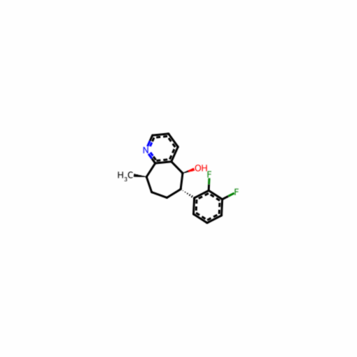 C[C@@H]1CC[C@@H](c2cccc(F)c2F)[C@H](O)c2cccnc21